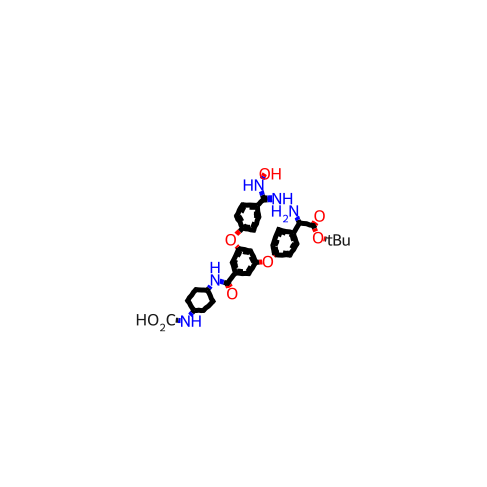 CC(C)(C)OC(=O)C(N)c1ccc(Oc2cc(Oc3ccc(C(=N)NO)cc3)cc(C(=O)NC3CCC(NC(=O)O)CC3)c2)cc1